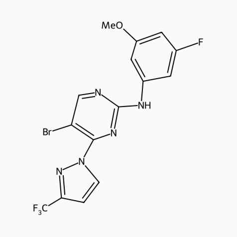 COc1cc(F)cc(Nc2ncc(Br)c(-n3ccc(C(F)(F)F)n3)n2)c1